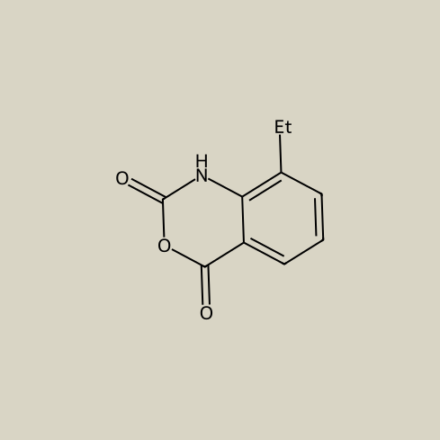 CCc1cccc2c(=O)oc(=O)[nH]c12